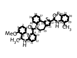 COc1ccccc1[C@H](C)Nc1cccc(C(=O)N2CCc3cc(C(=O)Nc4c(C)cccc4F)sc3-c3ccccc32)n1